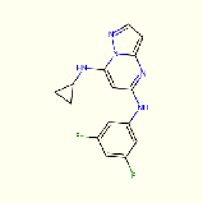 Fc1cc(F)cc(Nc2cc(NC3CC3)n3nccc3n2)c1